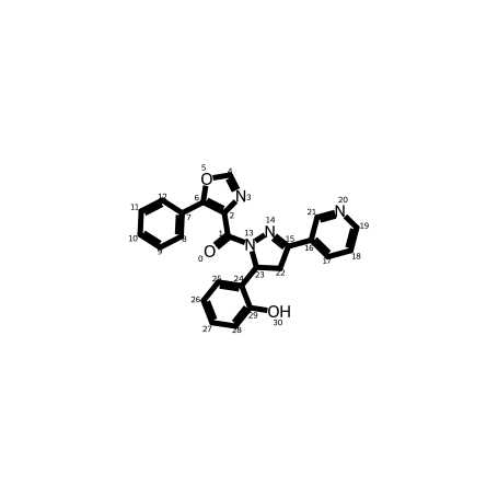 O=C(c1ncoc1-c1ccccc1)N1N=C(c2cccnc2)CC1c1ccccc1O